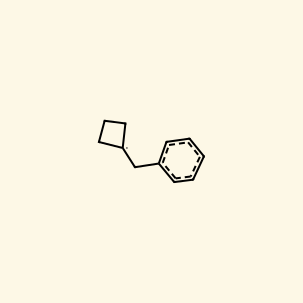 c1ccc(C[C]2CCC2)cc1